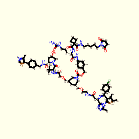 Cc1ncsc1-c1ccc(CNC(=O)[C@@H]2C[C@@H](O)CN2C(=O)[C@@H](NC(=O)COC[C@H]2C[C@@H](COCCNC(=O)C[C@@H]3N=C(c4ccc(Cl)cc4)c4c(sc(C)c4C)-n4c(C)nnc43)CN(C(=O)OCc3ccc(NC(=O)[C@H](CCCNC(N)=O)NC(=O)C4(C(=O)NCCCCCN5C(=O)C=CC5=O)CCC4)cc3)C2)C(C)(C)C)cc1